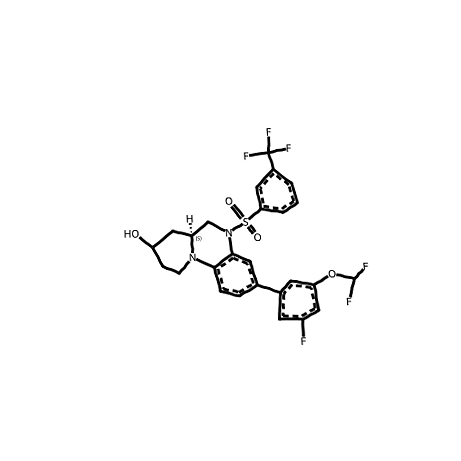 O=S(=O)(c1cccc(C(F)(F)F)c1)N1C[C@@H]2CC(O)CCN2c2ccc(-c3cc(F)cc(OC(F)F)c3)cc21